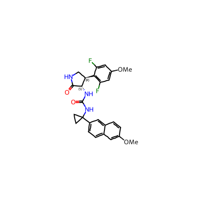 COc1cc(F)c([C@@H]2CNC(=O)[C@H]2NC(=O)NC2(c3ccc4cc(OC)ccc4c3)CC2)c(F)c1